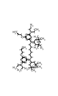 C=CCOc1nc(N(CC)CC)nc(N(CCCCCCN(c2nc(OCC=C)nc(N(CC)CC)n2)C2CC(C)(C)NC(C)(C)C2)C2CC(C)(C)NC(C)(C)C2)n1